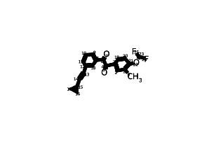 Cc1cc(C(=O)C(=O)c2cccc(C#CC3CC3)c2)ccc1OC(F)F